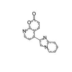 O=c1ccc2c(-c3cn4ccccc4n3)ccnc2o1